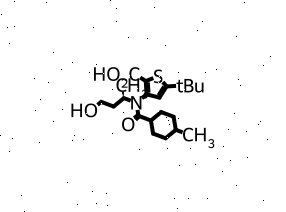 CC1CCC(C(=O)N(c2cc(C(C)(C)C)sc2C(=O)O)[C@@H](C)CCO)CC1